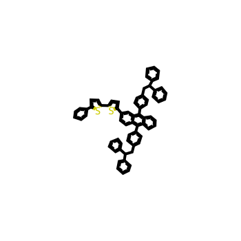 c1ccc(-c2ccc(-c3ccc(-c4ccc5c(-c6ccc(CC(c7ccccc7)c7ccccc7)cc6)c6ccccc6c(-c6ccc(CC(c7ccccc7)c7ccccc7)cc6)c5c4)s3)s2)cc1